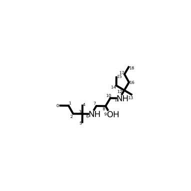 CCCC(C)(C)NCC(O)CNC(C)(CC)CCC